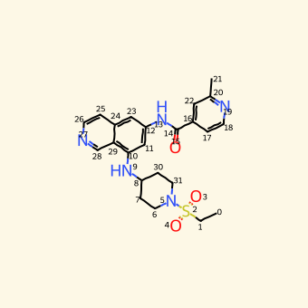 CCS(=O)(=O)N1CCC(Nc2cc(NC(=O)c3ccnc(C)c3)cc3ccncc23)CC1